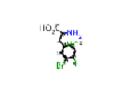 Cl.NC(Cc1ccc(F)c(Br)c1)C(=O)O